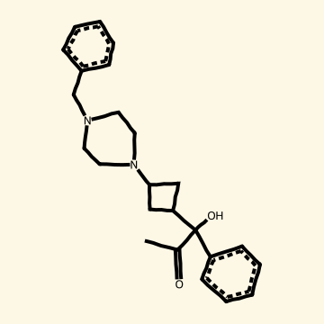 CC(=O)C(O)(c1ccccc1)C1CC(N2CCN(Cc3ccccc3)CC2)C1